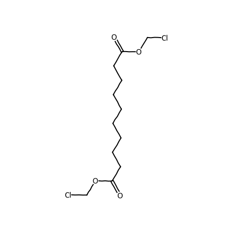 O=C(CCCCCCCCC(=O)OCCl)OCCl